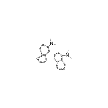 CN(C)c1ccc2ccccc2c1.CN(C)c1cccc2ccccc12